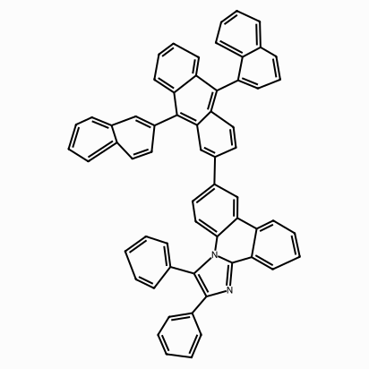 c1ccc(-c2nc3c4ccccc4c4cc(-c5ccc6c(-c7cccc8ccccc78)c7ccccc7c(-c7ccc8ccccc8c7)c6c5)ccc4n3c2-c2ccccc2)cc1